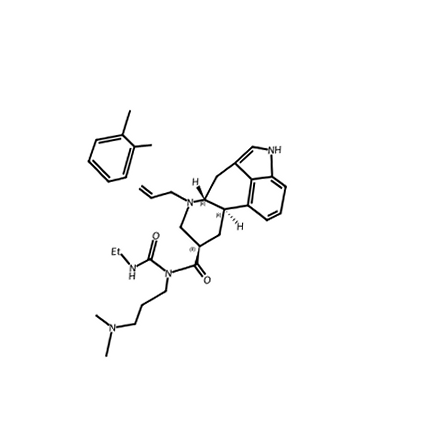 C=CCN1C[C@H](C(=O)N(CCCN(C)C)C(=O)NCC)C[C@@H]2c3cccc4[nH]cc(c34)C[C@H]21.Cc1ccccc1C